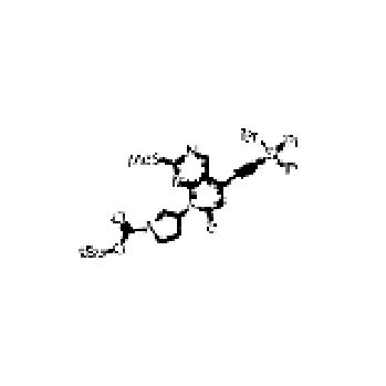 CSc1ncc2c(C#C[Si](C(C)C)(C(C)C)C(C)C)cc(=O)n(C3CCN(C(=O)OC(C)(C)C)C3)c2n1